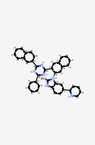 CC(C)c1nc2ccc(-c3ccccn3)cc2n1-c1cc2ccccc2cc1-c1nc(-c2ccccc2)nc(-c2ccc3ccccc3c2)n1